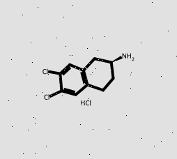 Cl.N[C@H]1CCc2cc(Cl)c(Cl)cc2C1